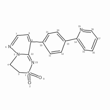 O=S1(=O)CCN2N=CC=C(c3ccc(-c4ccccn4)cc3)C2=N1